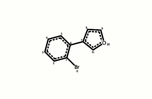 Brc1ccccc1-c1ccoc1